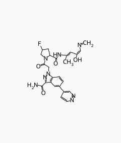 C=N/C=C(O)\C=C(/C)NC(=O)C1CC(F)CN1C(=O)Cn1nc(C(N)=O)c2cc(-c3ccnnc3)ccc21